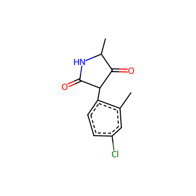 Cc1cc(Cl)ccc1C1C(=O)NC(C)C1=O